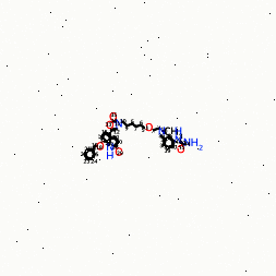 CN(CCOCCCCCCN1CC(c2ccc(OCc3ccccc3)c3[nH]c(=O)ccc23)OC1=O)Cc1cccc(NC(N)=O)c1